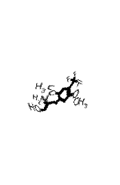 COc1cc(C(F)(F)F)c(OC)cc1CC(N)CO